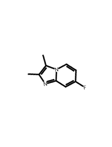 Cc1nc2cc(F)ccn2c1C